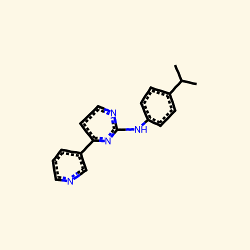 CC(C)c1ccc(Nc2nccc(-c3cccnc3)n2)cc1